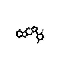 CCCn1c(Cn2ccnc2-c2cc(C)ccc2F)nc2cccnc21